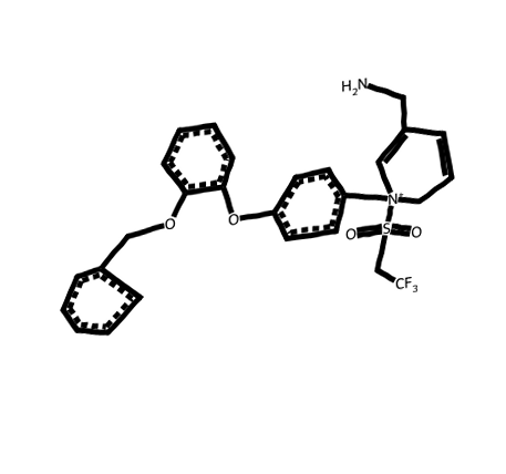 NCC1=C[N+](c2ccc(Oc3ccccc3OCc3ccccc3)cc2)(S(=O)(=O)CC(F)(F)F)CC=C1